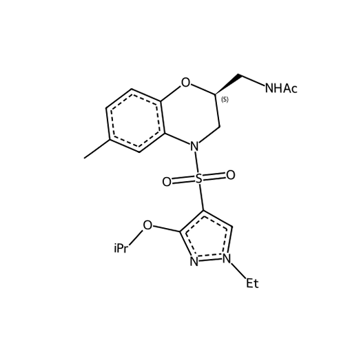 CCn1cc(S(=O)(=O)N2C[C@H](CNC(C)=O)Oc3ccc(C)cc32)c(OC(C)C)n1